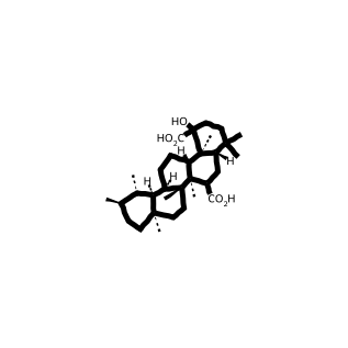 C[C@@H]1[C@H]2[C@H]3CC[C@@H]4[C@]5(C)[C@@H](CC(C(=O)O)[C@@]4(C)[C@]3(C)CC[C@@]2(C)CC[C@H]1C)C(C)(C)CCC5(O)C(=O)O